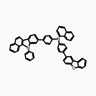 c1ccc(-n2c3cc(-c4ccc(N(c5ccc(-c6ccc7oc8ccccc8c7c6)cc5)c5cccc6ccccc56)cc4)ccc3c3ccc4ccccc4c32)cc1